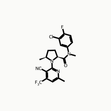 Cc1cc(C(F)(F)F)c(C#N)c(N2[C@@H](C)CC[C@H]2C(=O)N(C)c2ccc(F)c(Cl)c2)n1